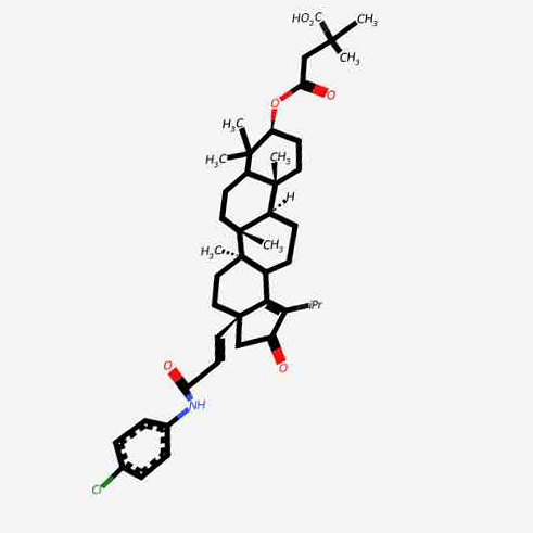 CC(C)C1=C2C3CC[C@@H]4[C@@]5(C)CC[C@H](OC(=O)CC(C)(C)C(=O)O)C(C)(C)C5CC[C@@]4(C)[C@]3(C)CC[C@@]2(/C=C/C(=O)Nc2ccc(Cl)cc2)CC1=O